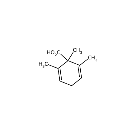 CC1=CCC=C(C)C1(C)C(=O)O